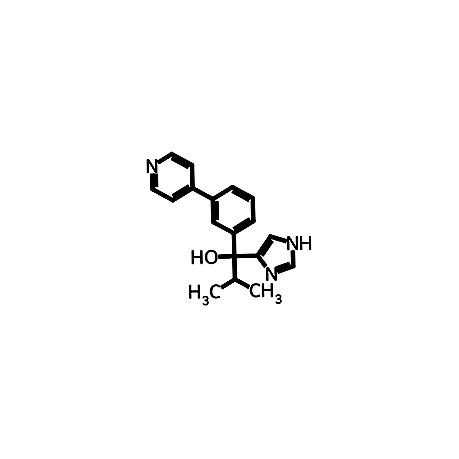 CC(C)C(O)(c1cccc(-c2ccncc2)c1)c1c[nH]cn1